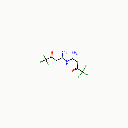 NC(CC(=O)C(F)(F)F)NC(N)CC(=O)C(F)(F)F